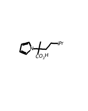 CC(C)CCC(C)(C(=O)O)n1cccc1